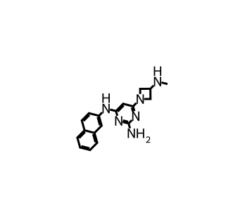 CNC1CN(c2cc(Nc3ccc4ccccc4c3)nc(N)n2)C1